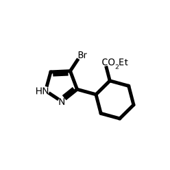 CCOC(=O)C1CCCCC1c1n[nH]cc1Br